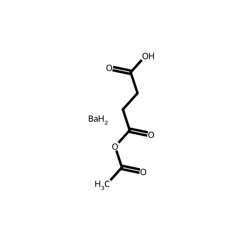 CC(=O)OC(=O)CCC(=O)O.[BaH2]